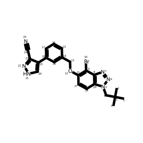 CC(C)(C)Cn1nnc2c(Br)c(OCc3cccc(-c4c[nH]nc4C#N)c3)ccc21